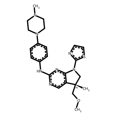 COC[C@@]1(C)CN(c2nccs2)c2nc(Nc3ccc(N4CCN(C)CC4)cc3)ncc21